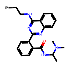 CC(C)CCNc1nc(-c2ccccc2C(=O)NC(C)N(C)C)nc2ccccc12